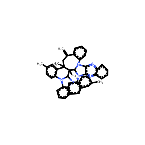 C=C1CC2(C)c3cc(C)ccc3N3c4ccccc4N(c4ccc(C)cc4)C3C2(C)C2N(c3ccccc3)c3nc4ccccc4nc3N2c2ccccc21